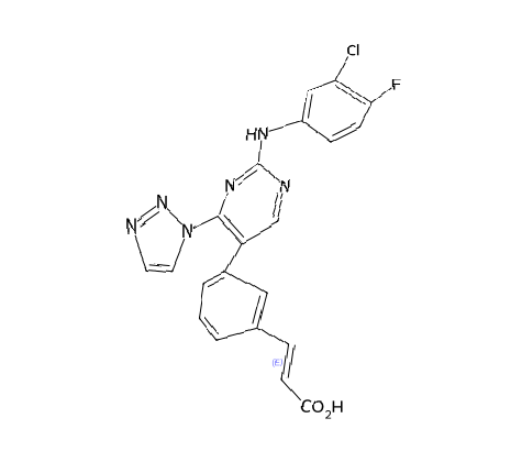 O=C(O)/C=C/c1cccc(-c2cnc(Nc3ccc(F)c(Cl)c3)nc2-n2ccnn2)c1